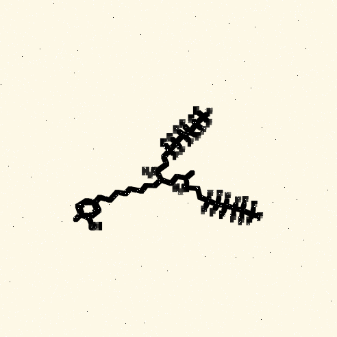 Cc1ccc(CCCCCCCCC(CCC(C)[SiH2]CCC(F)(F)C(F)(F)C(F)(F)C(F)(F)C(F)(F)C(F)(F)F)[SiH2]CCC(F)(F)C(F)(F)C(F)(F)C(F)(F)C(F)(F)C(F)(F)F)cc1O